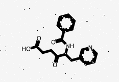 O=C(O)CCC(=O)C(Cc1cccnc1)NC(=O)c1ccccc1